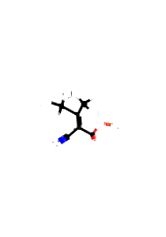 CC(C)(C)C(=C(C#N)C(=O)OS)C(C)(C)C